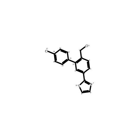 ClCc1ccc(-c2nccs2)cc1-c1ccc(Cl)cc1